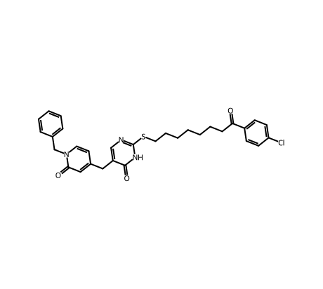 O=C(CCCCCCCSc1ncc(Cc2ccn(Cc3ccccc3)c(=O)c2)c(=O)[nH]1)c1ccc(Cl)cc1